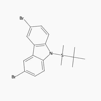 CC(C)(C)S(C)(C)n1c2ccc(Br)cc2c2cc(Br)ccc21